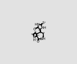 O=C1NC(=S)N/C1=C1\CCNC(=O)c2[nH]ccc21